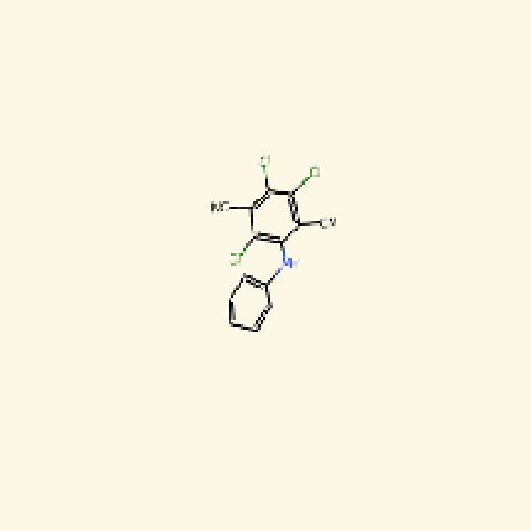 N#Cc1c(Cl)c(Cl)c(C#N)c(Nc2ccccc2)c1Cl